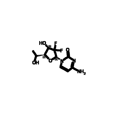 CC(O)[C@H]1O[C@@H](n2ccc(N)nc2=O)C(F)(F)[C@@H]1O